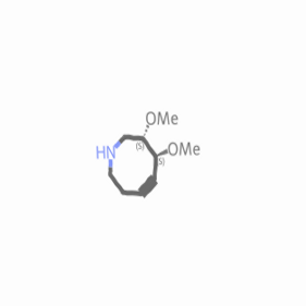 CO[C@H]1C#CCCNC[C@@H]1OC